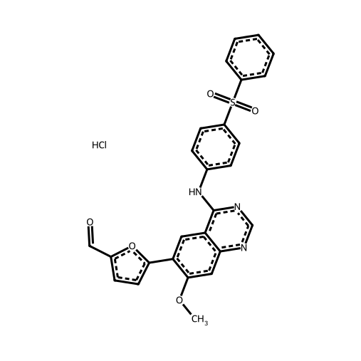 COc1cc2ncnc(Nc3ccc(S(=O)(=O)c4ccccc4)cc3)c2cc1-c1ccc(C=O)o1.Cl